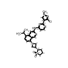 CC(C)c1ccc(N2CC([C@H]3CCCS3(=O)=O)C2)c2cnc(Nc3ccnc(-c4cn(C)nc4Cl)n3)cc12